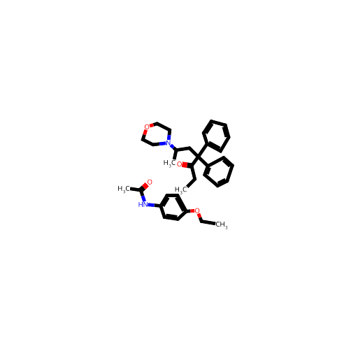 CCC(=O)C(CC(C)N1CCOCC1)(c1ccccc1)c1ccccc1.CCOc1ccc(NC(C)=O)cc1